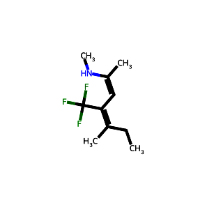 CC/C(C)=C(\C=C(\C)NC)C(F)(F)F